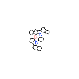 c1cc2c3c(c1)-n1c4c(c5ccccc5cc4c4ccc5ccccc5c41)B3c1cccc3c4ccc5ccccc5c4n-2c13